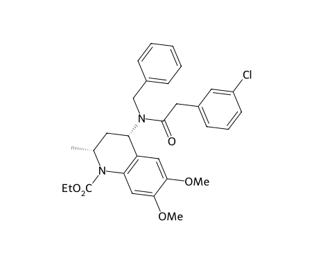 CCOC(=O)N1c2cc(OC)c(OC)cc2[C@@H](N(Cc2ccccc2)C(=O)Cc2cccc(Cl)c2)C[C@H]1C